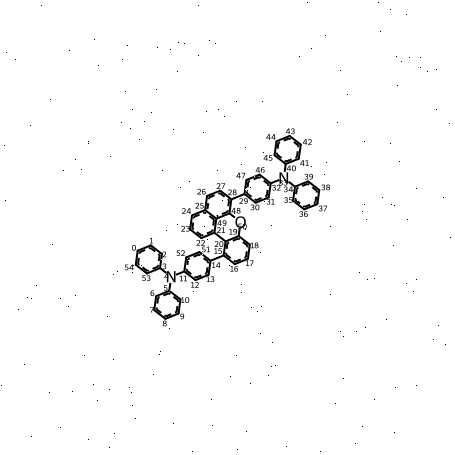 c1ccc(N(c2ccccc2)c2ccc(-c3cccc4c3-c3cccc5ccc(-c6ccc(N(c7ccccc7)c7ccccc7)cc6)c(c35)O4)cc2)cc1